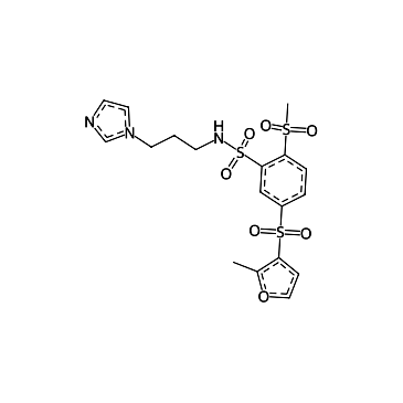 Cc1occc1S(=O)(=O)c1ccc(S(C)(=O)=O)c(S(=O)(=O)NCCCn2ccnc2)c1